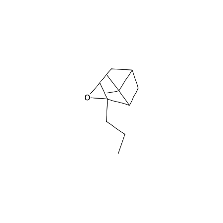 CCCC12OC1CC1CC2C1(C)C